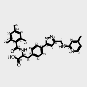 Cc1ccnc(NCc2cc(-c3ccc(CC(NC(=O)c4c(C)cc(C)cc4C)C(=O)O)cc3)sn2)c1